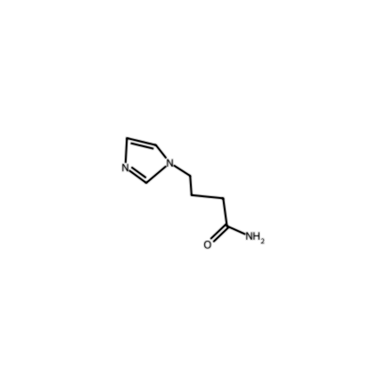 NC(=O)CCCn1ccnc1